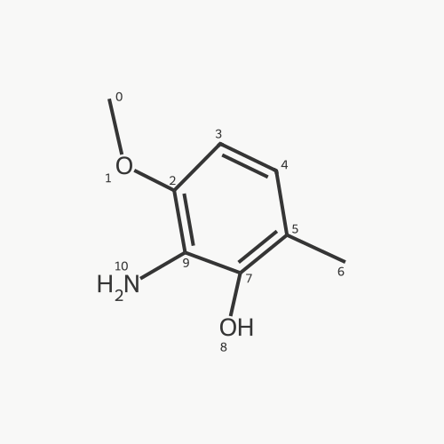 COc1ccc(C)c(O)c1N